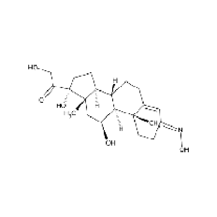 C[C@]12CC/C(=N\O)C=C1CC[C@@H]1[C@@H]2[C@@H](O)C[C@@]2(C)[C@H]1CC[C@]2(O)C(=O)CO